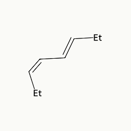 CC/C=C\C=C\CC